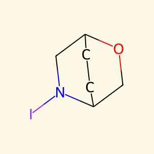 IN1CC2CCC1CO2